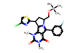 Cn1c(=O)c2c(-c3cccc(F)c3)n3c(c2n(C)c1=O)C(c1nc(Cl)cs1)CC3CO[Si](C)(C)C(C)(C)C